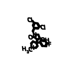 CN1CCC(c2ccc(F)cc2)(C2C(=O)N(Cc3cc(Cl)cc(Cl)c3)CC2O)CC1